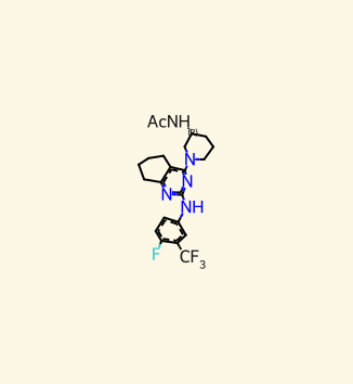 CC(=O)N[C@@H]1CCCN(c2nc(Nc3ccc(F)c(C(F)(F)F)c3)nc3c2CCCC3)C1